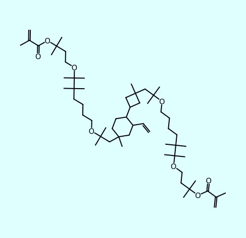 C=CC1CC(C)(CC(C)(C)OCCCCC(C)(C)C(C)(C)OCCC(C)(C)OC(=O)C(=C)C)CCC1C1CC(C)(CC(C)(C)OCCCCC(C)(C)C(C)(C)OCCC(C)(C)OC(=O)C(=C)C)C1